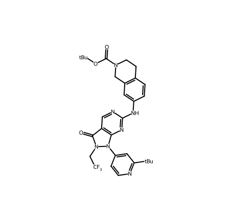 CC(C)(C)OC(=O)N1CCc2ccc(Nc3ncc4c(=O)n(CC(F)(F)F)n(-c5ccnc(C(C)(C)C)c5)c4n3)cc2C1